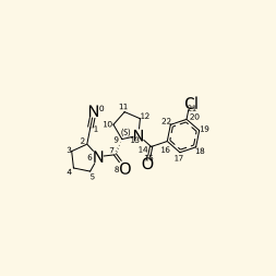 N#CC1CCCN1C(=O)[C@@H]1CCCN1C(=O)c1cccc(Cl)c1